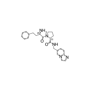 N[C@H](CCc1ccccc1)C(=O)N1CCC[C@H]1C(=O)NCc1ccc2nccn2c1